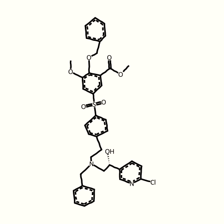 COC(=O)c1cc(S(=O)(=O)c2ccc(CCN(Cc3ccccc3)C[C@H](O)c3ccc(Cl)nc3)cc2)cc(OC)c1OCc1ccccc1